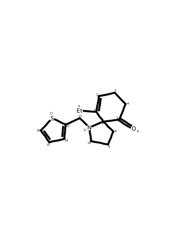 CCC1=CCCC(=O)C12CCCN2Cc1cccs1